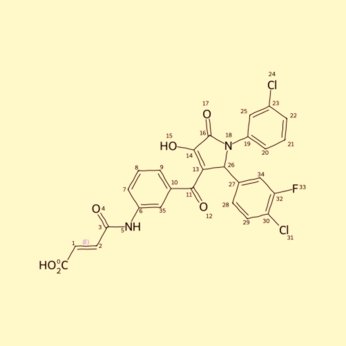 O=C(O)/C=C/C(=O)Nc1cccc(C(=O)C2=C(O)C(=O)N(c3cccc(Cl)c3)C2c2ccc(Cl)c(F)c2)c1